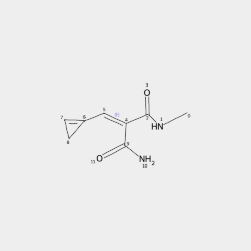 CNC(=O)/C(=C/C1=CC1)C(N)=O